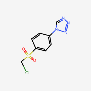 O=S(=O)(CCl)c1ccc(-n2cnnn2)cc1